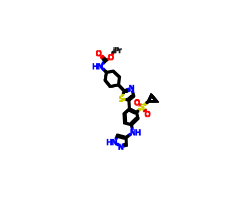 CC(C)OC(=O)NC1CCC(c2ncc(-c3ccc(Nc4cn[nH]c4)cc3S(=O)(=O)C3CC3)s2)CC1